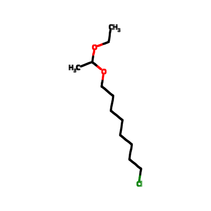 CCOC(C)OCCCCCCCCCl